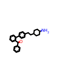 NC1CCC(CCc2ccc(-c3ccccc3C(=O)c3ccccc3)cc2)CC1